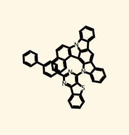 c1ccc(-c2ccc(-c3nc(-n4c5ccccc5c5cc6c7ccccc7n7c8ccc9ccccc9c8c(c54)c67)c4sc5ccccc5c4n3)cc2)cc1